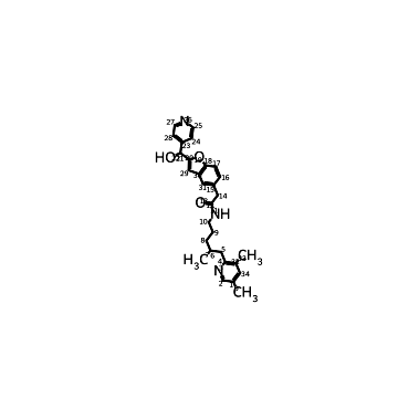 Cc1cnc(CC(C)CCCNC(=O)Cc2ccc3oc(C(O)c4ccncc4)cc3c2)c(C)c1